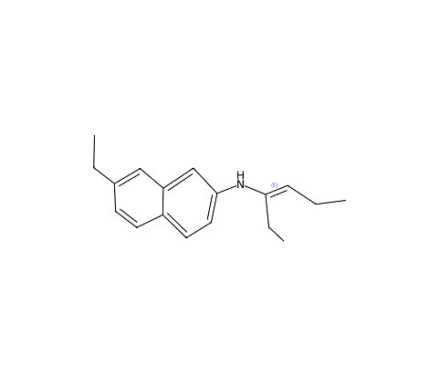 CC/C=C(\CC)Nc1ccc2ccc(CC)cc2c1